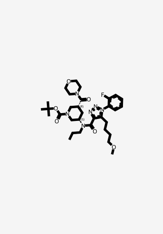 CCCN(C(=O)c1nnn(-c2ccccc2F)c1CCCCOC)[C@H]1C[C@@H](C(=O)N2CCOCC2)CN(C(=O)OC(C)(C)C)C1